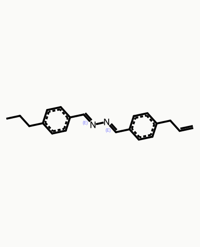 C=CCc1ccc(/C=N/N=C/c2ccc(CCC)cc2)cc1